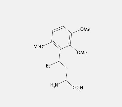 CCC(CC(N)C(=O)O)c1c(OC)ccc(OC)c1OC